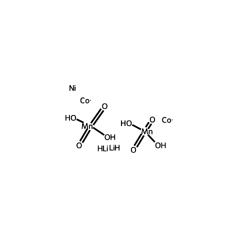 [Co].[Co].[LiH].[LiH].[Ni].[O]=[Mn](=[O])([OH])[OH].[O]=[Mn](=[O])([OH])[OH]